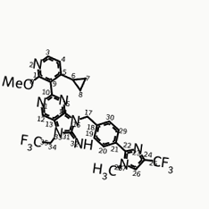 COc1nccc(C2CC2)c1-c1ncc2c(n1)n(Cc1ccc(-c3nc(C(F)(F)F)cn3C)cc1)c(=N)n2CC(F)(F)F